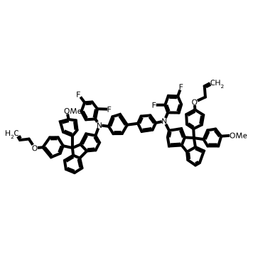 C=CCOc1ccc(C2(c3ccc(OC)cc3)c3ccccc3-c3ccc(N(c4ccc(-c5ccc(N(c6ccc7c(c6)C(c6ccc(OC)cc6)(c6ccc(OCC=C)cc6)c6ccccc6-7)c6ccc(F)cc6F)cc5)cc4)c4ccc(F)cc4F)cc32)cc1